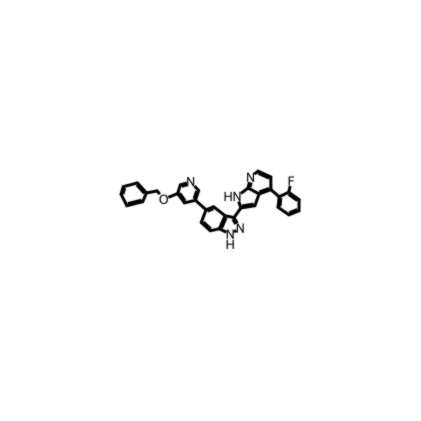 Fc1ccccc1-c1ccnc2[nH]c(-c3n[nH]c4ccc(-c5cncc(OCc6ccccc6)c5)cc34)cc12